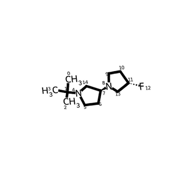 CC(C)(C)N1CC[C@H](N2CC[C@H](F)C2)C1